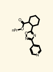 CCCOC(=O)C1CCCCC1c1nc(-c2ccncc2)no1